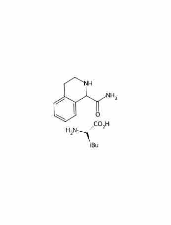 CC[C@H](C)[C@H](N)C(=O)O.NC(=O)C1NCCc2ccccc21